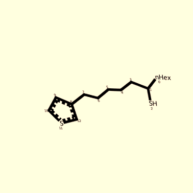 CCCCCCC(S)CCCCCc1ccsc1